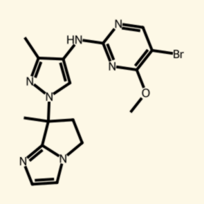 COc1nc(Nc2cn(C3(C)CCn4ccnc43)nc2C)ncc1Br